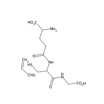 C=CC=O.NC(CCC(=O)NC(CS)C(=O)NCC(=O)O)C(=O)O